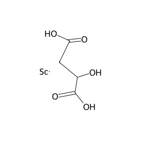 O=C(O)CC(O)C(=O)O.[Sc]